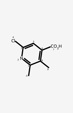 Cc1nc(Cl)cc(C(=O)O)c1C